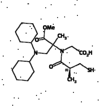 COC(=O)C(C)(CN(C1CCCCC1)C1CCCCC1)N(CC(=O)O)C(=O)[C@H](C)CS